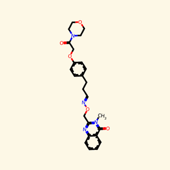 Cn1c(CON=CCCc2ccc(OCC(=O)N3CCOCC3)cc2)nc2ccccc2c1=O